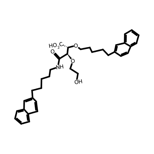 O=C(O)[C@H](OCCCCCc1ccc2ccccc2c1)[C@@H](OCCO)C(=O)NCCCCCc1ccc2ccccc2c1